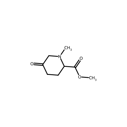 COC(=O)C1CCC(=O)CN1C